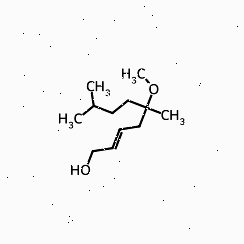 COC(C)(CC=CCO)CCC(C)C